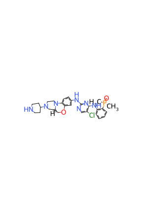 CP(C)(=O)c1ccccc1Nc1nc(Nc2ccc3c(c2)OC[C@@H]2CN(C4CCNCC4)CCN32)ncc1Cl